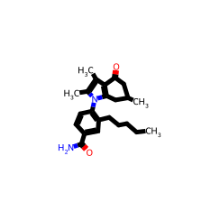 CCCCCc1cc(C(N)=O)ccc1-n1c(C)c(C)c2c1CC(C)CC2=O